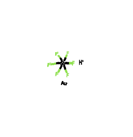 [Au].[F][Sb-]([F])([F])([F])([F])[F].[H+]